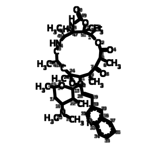 CC[C@H]1OC(=O)C(C)C(=O)[C@@H](C)C(O[C@@H]2OC(C)CC(N(C)C)C2C)[C@](C)(OC/C=C/c2cnc3ccccc3c2)C[C@@H](C)CN[C@H](C)[C@H]2NC(=O)O[C@@]21C